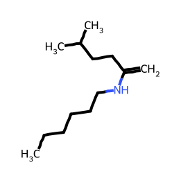 C=C(CCC(C)C)NCCCCCC